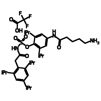 CC(C)c1cc(C(C)C)c(CC(=O)NS(=O)(=O)Oc2c(C(C)C)cc(NC(=O)CCCCN)cc2C(C)C)c(C(C)C)c1.O=C(O)C(F)(F)F